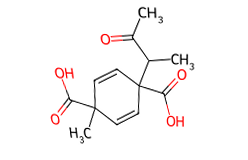 CC(=O)C(C)C1(C(=O)O)C=CC(C)(C(=O)O)C=C1